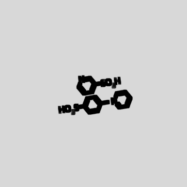 Cc1ccc(S(=O)(=O)O)cc1.O=S(=O)(O)c1cccnc1.c1ccncc1